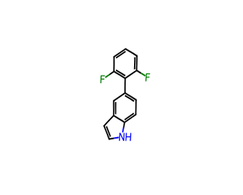 Fc1cccc(F)c1-c1ccc2[nH]ccc2c1